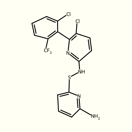 Nc1cccc(SNc2ccc(Cl)c(-c3c(Cl)cccc3C(F)(F)F)n2)n1